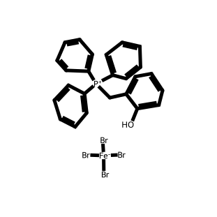 Oc1ccccc1C[P+](c1ccccc1)(c1ccccc1)c1ccccc1.[Br][Fe-]([Br])([Br])[Br]